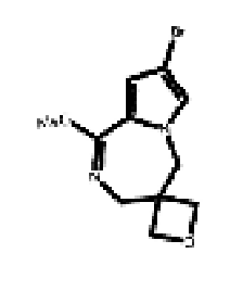 COC1=NCC2(COC2)Cn2cc(Br)cc21